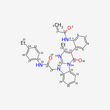 C=CC(=O)Nc1ccccc1-c1c(CC)nc2n(CC(=O)Nc3ccc(CC)cc3)c3ccccc3n2c1=O